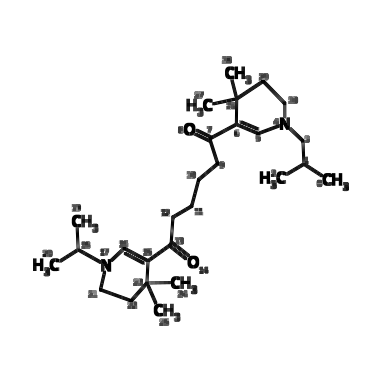 CC(C)CN1C=C(C(=O)CCCCC(=O)C2=CN(C(C)C)CCC2(C)C)C(C)(C)CC1